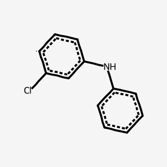 Clc1[c]ccc(Nc2ccccc2)c1